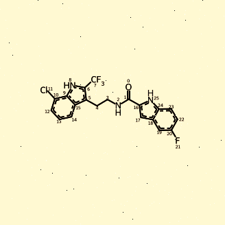 O=C(NCCc1c(C(F)(F)F)[nH]c2c(Cl)cccc12)c1cc2cc(F)ccc2[nH]1